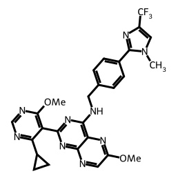 COc1cnc2nc(-c3c(OC)ncnc3C3CC3)nc(NCc3ccc(-c4nc(C(F)(F)F)cn4C)cc3)c2n1